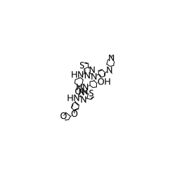 CN1CCC(N(C)c2ccc(N(c3nc(N[C@H]4CC[C@H](O)CC4)c4sccc4n3)C3C[C@H](Nc4nc(Nc5ccc(OC6CCOC6)cc5)nc5ccsc45)CC[C@H]3O)cc2)CC1